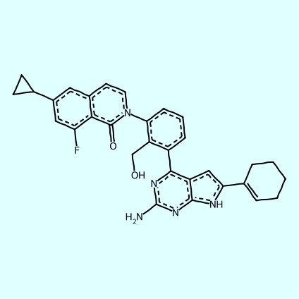 Nc1nc(-c2cccc(-n3ccc4cc(C5CC5)cc(F)c4c3=O)c2CO)c2cc(C3=CCCCC3)[nH]c2n1